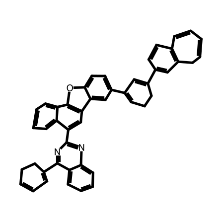 C1=CCCC(c2nc(-c3cc4c5cc(C6=CCCC(c7ccc8c(c7)CC=CC=C8)=C6)ccc5oc4c4ccccc34)nc3ccccc23)=C1